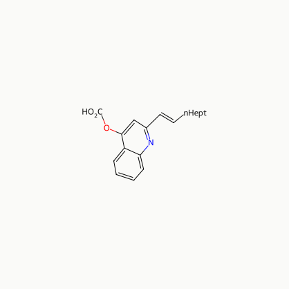 CCCCCCCC=Cc1cc(OC(=O)O)c2ccccc2n1